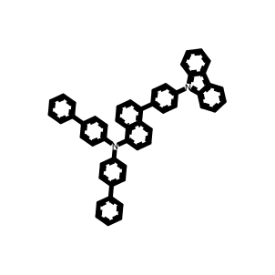 c1ccc(-c2ccc(N(c3ccc(-c4ccccc4)cc3)c3cccc4c(-c5ccc(-n6c7ccccc7c7ccccc76)cc5)cccc34)cc2)cc1